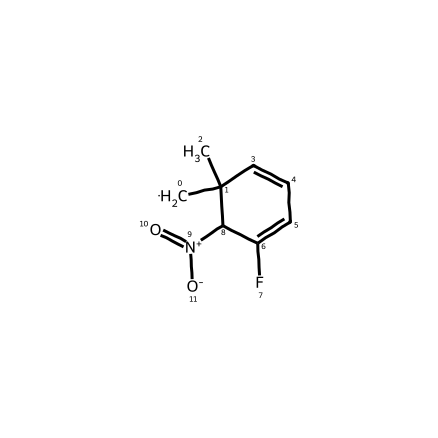 [CH2]C1(C)C=CC=C(F)C1[N+](=O)[O-]